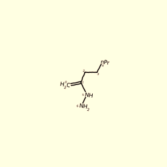 C=C(CCCCC)NN